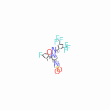 Cc1cc(F)ccc1[C@H]1C[C@H](N2CCS(=O)(=O)CC2)CCN1C(=O)N(C)[C@@H](C)c1cc(C(F)(F)F)cc(C(F)(F)F)c1